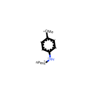 CCCCCNc1ccc(OC)cc1